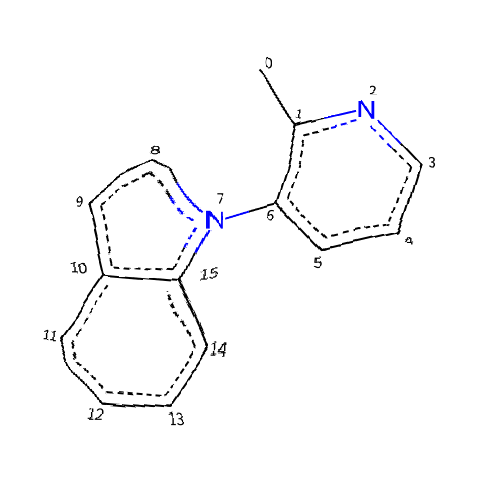 Cc1ncccc1-n1ccc2ccccc21